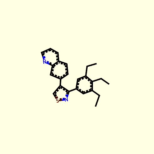 CCc1cc(-c2nscc2-c2ccc3cccnc3c2)cc(CC)c1CC